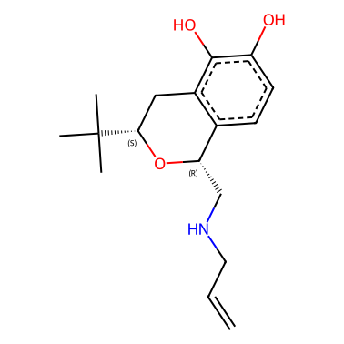 C=CCNC[C@@H]1O[C@H](C(C)(C)C)Cc2c1ccc(O)c2O